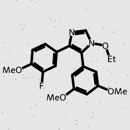 CCOn1cnc(-c2ccc(OC)c(F)c2)c1-c1cc(OC)cc(OC)c1